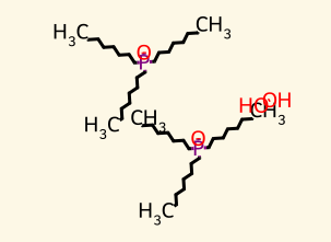 CCCCCCCCP(=O)(CCCCCCCC)CCCCCCCC.CCCCCCCCP(=O)(CCCCCCCC)CCCCCCCC.OO